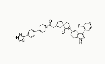 Cn1cnc(-c2ccc(C3=CCN(C(=O)CN4CCC5(CCN(c6ccc7[nH]nc(-c8ccncc8F)c7c6)C5=O)C4)CC3)cc2)n1